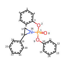 O=P(Oc1ccccc1)(Oc1ccccc1)N1CC1c1ccccc1